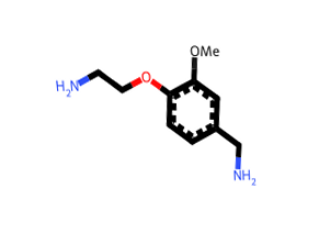 COc1cc(CN)ccc1OCCN